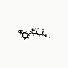 CN/C(=C\C(N)=O)CSc1cccc(Cl)c1